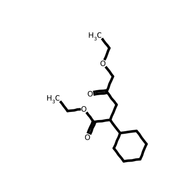 CCOCC(=O)CC(C(=O)OCC)C1CCCCC1